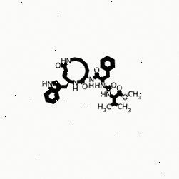 COC(=O)C(NC(=O)NC(Cc1ccccc1)C(=O)N[C@H]1CCCCNC(=O)/C=C/[C@H](Cc2c[nH]c3ccccc23)NC1=O)C(C)C